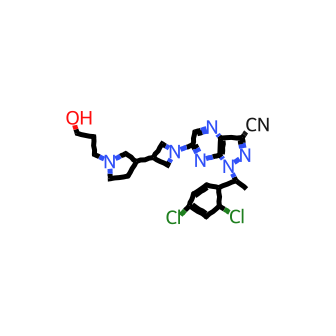 CC(C1C=CC(Cl)=CC1Cl)n1nc(C#N)c2ncc(N3CC(C4CCN(CCCO)C4)C3)nc21